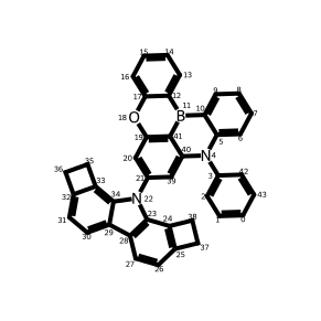 c1ccc(N2c3ccccc3B3c4ccccc4Oc4cc(-n5c6c7c(ccc6c6ccc8c(c65)CC8)CC7)cc2c43)cc1